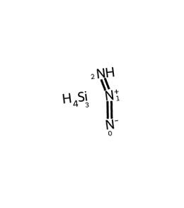 [N-]=[N+]=N.[SiH4]